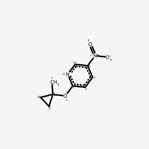 CC1(Oc2ccc([N+](=O)[O-])cn2)CC1